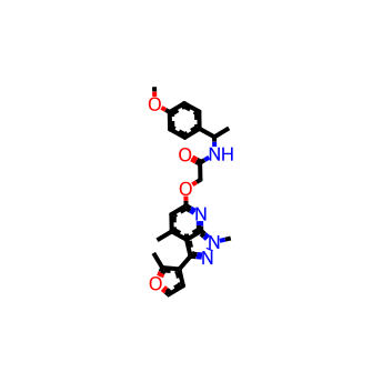 COc1ccc(C(C)NC(=O)COc2cc(C)c3c(-c4ccoc4C)nn(C)c3n2)cc1